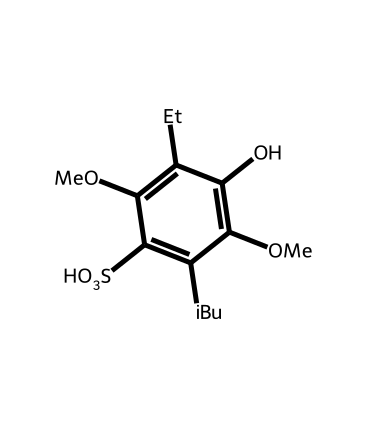 CCc1c(O)c(OC)c(C(C)CC)c(S(=O)(=O)O)c1OC